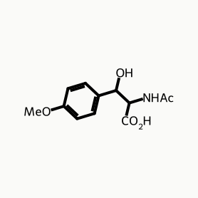 COc1ccc(C(O)C(NC(C)=O)C(=O)O)cc1